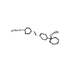 CCCCCC[C@H]1CC[C@H](CC[C@H]2CC[C@H](C3(OCCCC)CCCCC3)CC2)CC1